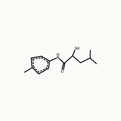 Cc1ccc(NC(=O)C(S)CC(C)C)cc1